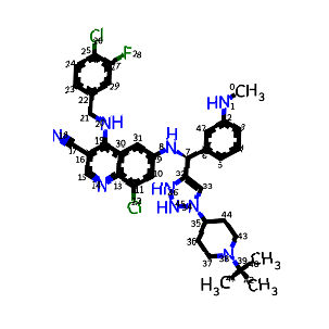 CNc1cccc([C@H](Nc2cc(Cl)c3ncc(C#N)c(NCc4ccc(Cl)c(F)c4)c3c2)C2=CN(C3CCN(C(C)(C)C)CC3)NN2)c1